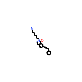 N#CCCCCCCn1ccc2ccc(C#CCc3ccccc3)cc2c1=O